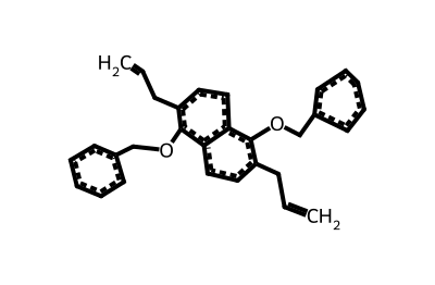 C=CCc1ccc2c(OCc3ccccc3)c(CC=C)ccc2c1OCc1ccccc1